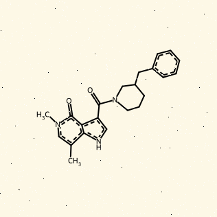 Cc1cn(C)c(=O)c2c(C(=O)N3CCCC(Cc4ccccc4)C3)c[nH]c12